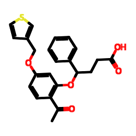 CC(=O)c1ccc(OCc2ccsc2)cc1OC(CCC(=O)O)c1ccccc1